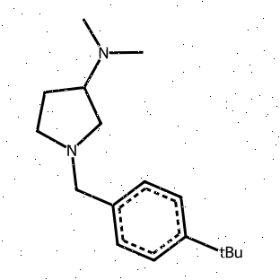 CN(C)C1CCN(Cc2ccc(C(C)(C)C)cc2)C1